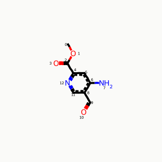 COC(=O)c1cc(N)c(C=O)cn1